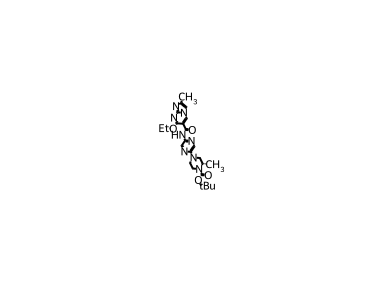 CCOc1nc2nc(C)cn2cc1C(=O)Nc1cnc(N2CCN(C(=O)OC(C)(C)C)[C@@H](C)C2)cn1